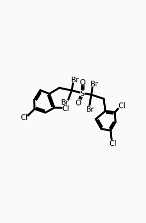 O=S(=O)(C(Br)(Br)Cc1ccc(Cl)cc1Cl)C(Br)(Br)Cc1ccc(Cl)cc1Cl